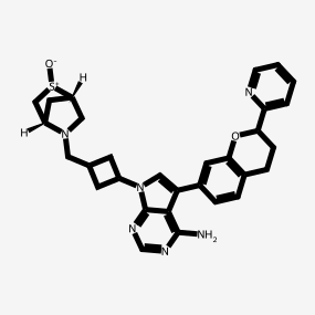 Nc1ncnc2c1c(-c1ccc3c(c1)OC(c1ccccn1)CC3)cn2C1CC(CN2C[C@@H]3C[C@H]2C[S+]3[O-])C1